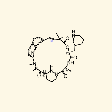 C[C@@H]1NC(=O)[C@@H](CC2CCCNC2)OC(=O)C(C)(C)/C=C/c2ccc3ccc(nc3c2)N(C)N(C)C(=O)[C@@H]2CCCN(N2)C1=O